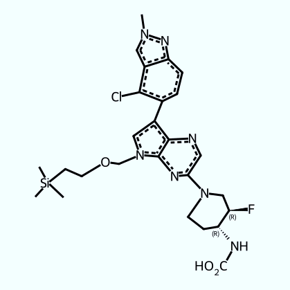 Cn1cc2c(Cl)c(-c3cn(COCC[Si](C)(C)C)c4nc(N5CC[C@@H](NC(=O)O)[C@H](F)C5)cnc34)ccc2n1